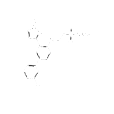 CNS(=O)(=O)CCNc1ccc(-c2cccc(OC(F)(F)F)c2)cc1-c1ccn(C)n1